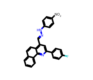 O=[N+]([O-])c1ccc(N/N=C/c2cc(-c3ccc(F)cc3)nc3c2ccc2ccccc23)cc1